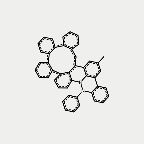 Cc1cc2c3c(c1)-c1cc4ccccc4c4ccccc4c4ccccc4c4cccc(c14)B3N(c1ccccc1)c1ccccc1-2